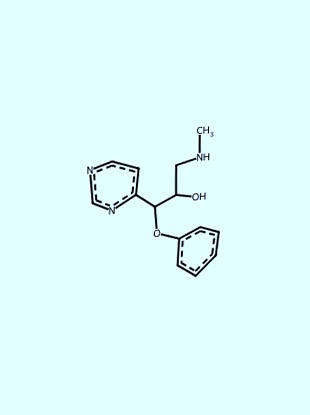 CNCC(O)C(Oc1ccccc1)c1ccncn1